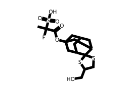 CC(F)(C(=O)OC12CC3CC(C1)C1(SCC(CO)S1)C(C3)C2)S(=O)(=O)O